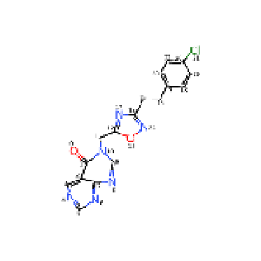 O=c1c2cncnc2ncn1Cc1nc(CCc2ccc(Cl)cc2)no1